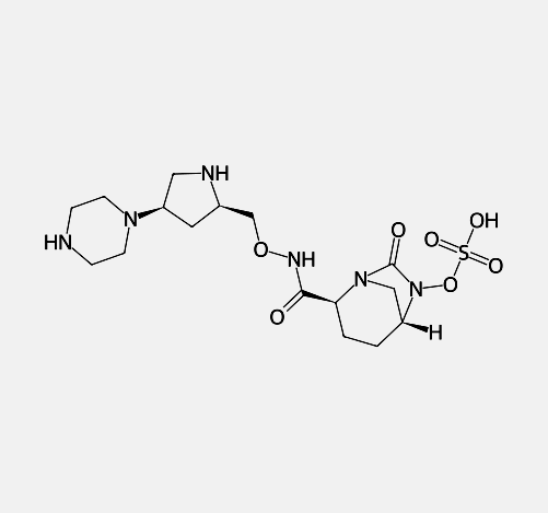 O=C(NOC[C@H]1C[C@@H](N2CCNCC2)CN1)[C@@H]1CC[C@@H]2CN1C(=O)N2OS(=O)(=O)O